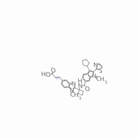 Cn1c(C2(NC(=O)c3ccc4c(C5CCCC5)c(-c5nccs5)n(C)c4c3)CCC2)nc2cc(/C=C/C(=O)O)ccc21